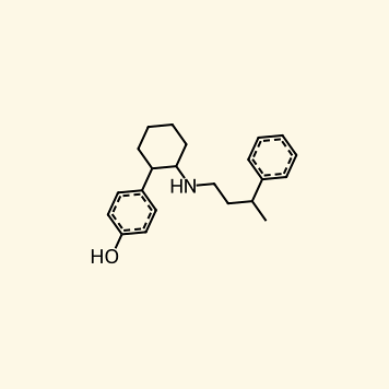 CC(CCNC1CCCCC1c1ccc(O)cc1)c1ccccc1